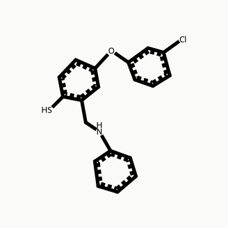 Sc1ccc(Oc2cccc(Cl)c2)cc1CNc1ccccc1